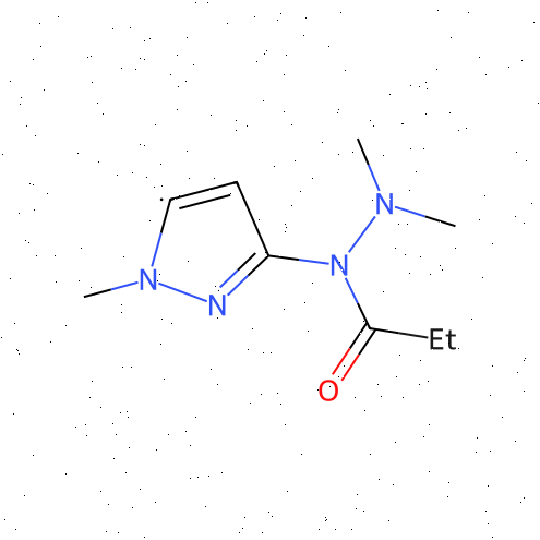 CCC(=O)N(c1c[c]n(C)n1)N(C)C